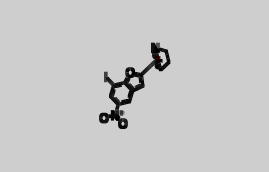 O=[N+]([O-])c1cc(I)c2oc(C3=CN4CCC3CC4)cc2c1